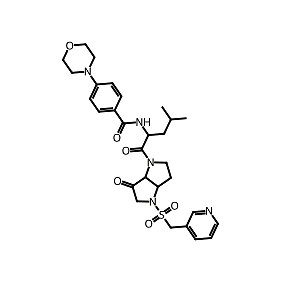 CC(C)CC(NC(=O)c1ccc(N2CCOCC2)cc1)C(=O)N1CCC2C1C(=O)CN2S(=O)(=O)Cc1cccnc1